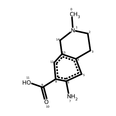 CN1CCc2cc(N)c(C(=O)O)cc2C1